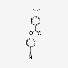 CC(C)c1ccc(C(=O)Oc2ccc(C#N)cc2)cc1